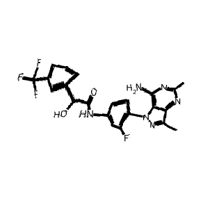 Cc1nc(N)c2c(n1)c(C)nn2-c1ccc(NC(=O)C(O)c2cccc(C(F)(F)F)c2)cc1F